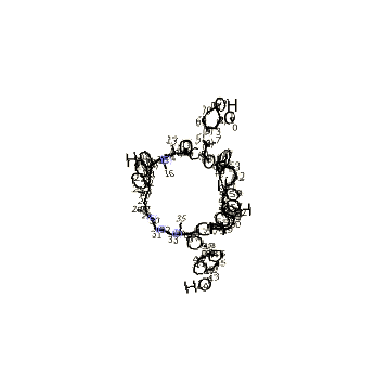 CO[C@@H]1C[C@H](C[C@@H](C)[C@@H]2CC(=O)[C@H](C)/C=C(\C)[C@@H](O)[C@@H](OC)C(=O)[C@H](C)C[C@H](C)/C=C/C=C/C=C(\C)C(OC[C@H]3CO[C@@H](CO)CO3)C[C@@H]3CC[C@@H](C)[C@@](O)(O3)C(=O)C(=O)N3CCCC[C@H]3C(=O)O2)CC[C@H]1O